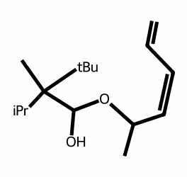 C=C/C=C\C(C)OC(O)C(C)(C(C)C)C(C)(C)C